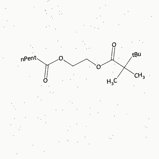 CCCCCC(=O)OCCOC(=O)C(C)(C)C(C)(C)C